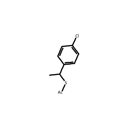 CC(=O)SC(C)c1ccc(Cl)cc1